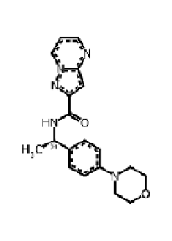 C[C@@H](NC(=O)c1cc2ncccn2n1)c1ccc(N2CCOCC2)cc1